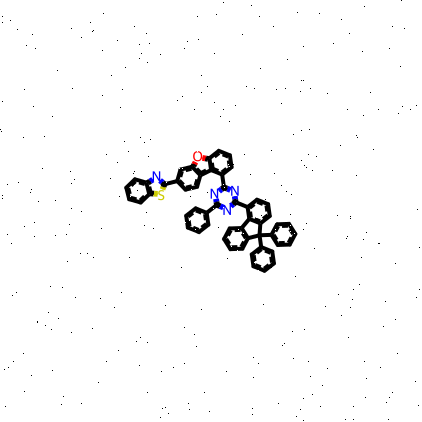 c1ccc(-c2nc(-c3cccc4c3-c3ccccc3C4(c3ccccc3)c3ccccc3)nc(-c3cccc4oc5cc(-c6nc7ccccc7s6)ccc5c34)n2)cc1